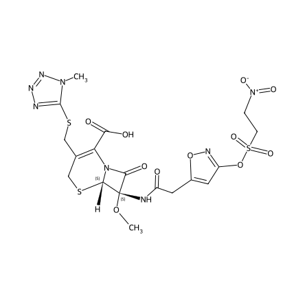 CO[C@@]1(NC(=O)Cc2cc(OS(=O)(=O)CC[N+](=O)[O-])no2)C(=O)N2C(C(=O)O)=C(CSc3nnnn3C)CS[C@H]21